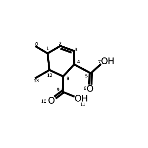 CC1C=CC(C(=O)O)C(C(=O)O)C1C